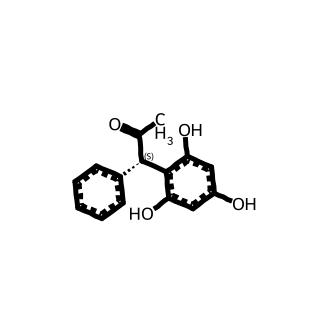 CC(=O)[C@@H](c1ccccc1)c1c(O)cc(O)cc1O